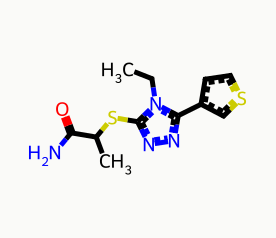 CCn1c(SC(C)C(N)=O)nnc1-c1ccsc1